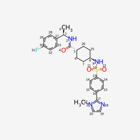 C[C@@H](NC(=O)[C@H]1CC[C@H](NS(=O)(=O)c2ccc(-c3nccn3C)cc2)CC1)c1ccc(F)cc1